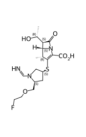 C[C@@H](O)[C@H]1C(=O)N2C(C(=O)O)=C(S[C@H]3C[C@@H](COCCF)N(C=N)C3)[C@H](C)[C@H]12